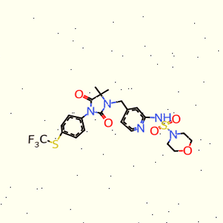 CC1(C)C(=O)N(c2ccc(SC(F)(F)F)cc2)C(=O)N1Cc1ccnc(NS(=O)(=O)N2CCOCC2)c1